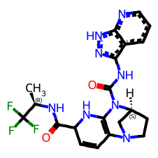 C[C@@H](NC(=O)C1C=CC2=C(N1)N(C(=O)Nc1n[nH]c3ncccc13)[C@H]1CCN2C1)C(F)(F)F